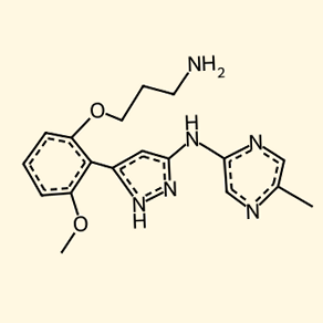 COc1cccc(OCCCN)c1-c1cc(Nc2cnc(C)cn2)n[nH]1